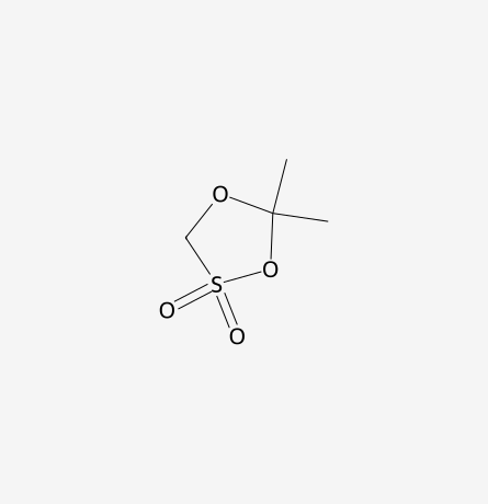 CC1(C)OCS(=O)(=O)O1